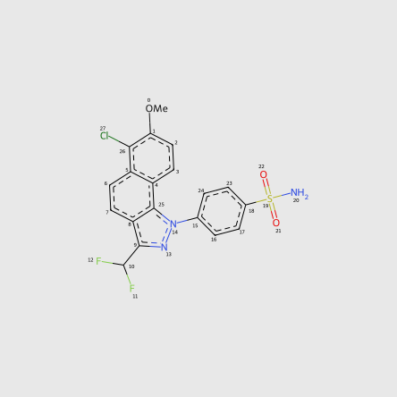 COc1ccc2c(ccc3c(C(F)F)nn(-c4ccc(S(N)(=O)=O)cc4)c32)c1Cl